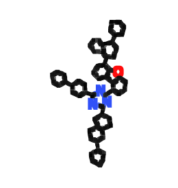 c1ccc(-c2ccc(-c3nc(-c4ccc5cc(-c6ccccc6)ccc5c4)nc(-c4cccc5oc6c(-c7ccc(-c8ccccc8)c8ccccc78)cccc6c45)n3)cc2)cc1